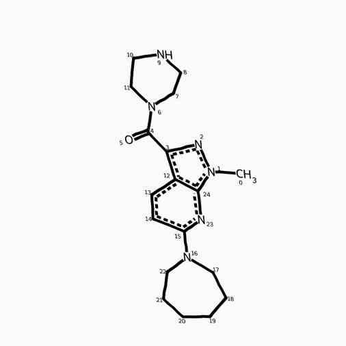 Cn1nc(C(=O)N2CCNCC2)c2ccc(N3CCCCCC3)nc21